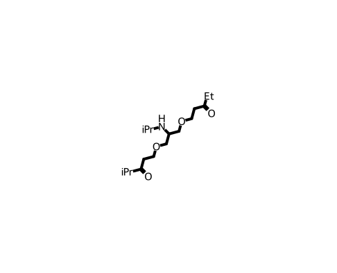 CCC(=O)CCOCC(COCCC(=O)C(C)C)NC(C)C